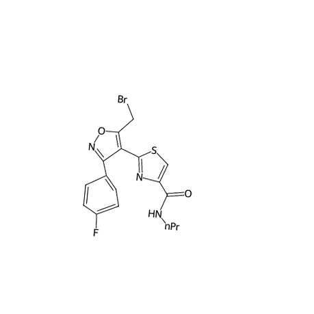 CCCNC(=O)c1csc(-c2c(-c3ccc(F)cc3)noc2CBr)n1